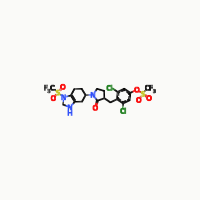 O=C1C(Cc2c(Cl)cc(OS(=O)(=O)C(F)(F)F)cc2Cl)CCN1C1CCC2=C(C1)NCN2S(=O)(=O)C(F)(F)F